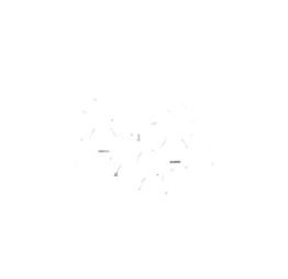 C=C(c1c[nH]c2cc(CC)cc(CC)c2c1=O)N(C)c1cc(CC)c(CC)c(CC)c1